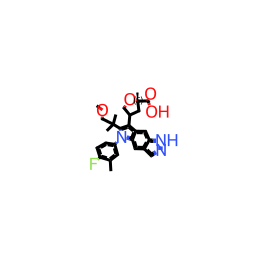 COCC(C)(C)c1c(C2CO[C@](C)(C(=O)O)C2)c2cc3[nH]ncc3cc2n1-c1ccc(F)c(C)c1